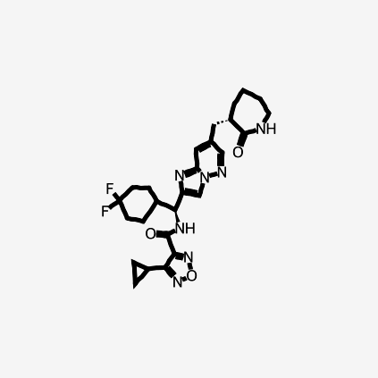 O=C(N[C@H](c1cn2ncc(C[C@@H]3CCCCNC3=O)cc2n1)C1CCC(F)(F)CC1)c1nonc1C1CC1